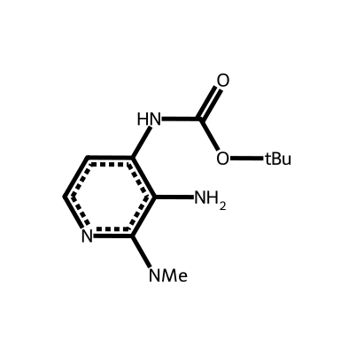 CNc1nccc(NC(=O)OC(C)(C)C)c1N